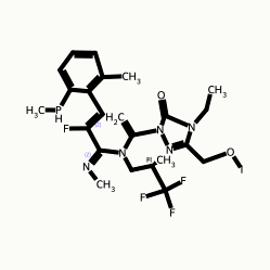 C=C(N(C[C@@H](C)C(F)(F)F)C(=N\C)/C(F)=C/c1c(C)cccc1PC)n1nc(COI)n(CC)c1=O